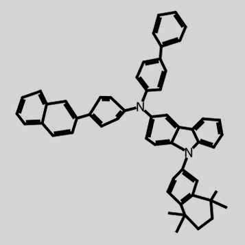 CC1(C)CCC(C)(C)c2cc(-n3c4ccccc4c4cc(N(c5ccc(-c6ccccc6)cc5)c5ccc(-c6ccc7ccccc7c6)cc5)ccc43)ccc21